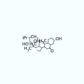 CC(C)[C@H](C)[C@@H](O)[C@H](O)[C@@H](C)[C@H]1CCC2C3CC(=O)C4C[C@@H](O)CC[C@]4(C)C3CC[C@@]21C